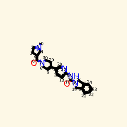 CN1CCC(C(=O)N2CC=C(c3ccc(NC(=O)N4Cc5ccccc5C4)nc3)CC2)C1